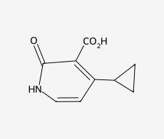 O=C(O)c1c(C2CC2)cc[nH]c1=O